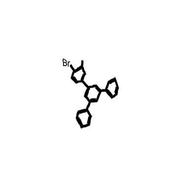 Cc1cc(-c2cc(-c3ccccc3)cc(-c3ccccc3)c2)ccc1Br